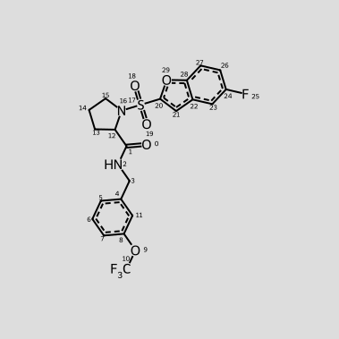 O=C(NCc1cccc(OC(F)(F)F)c1)C1CCCN1S(=O)(=O)c1cc2cc(F)ccc2o1